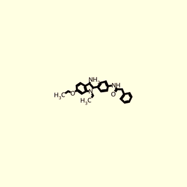 CCOc1ccc2c(c1)N(CC)C(c1ccc(NC(=O)Cc3ccccc3)cc1)C2N